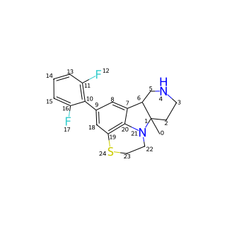 CC12CCNCC1c1cc(-c3c(F)cccc3F)cc3c1N2CCS3